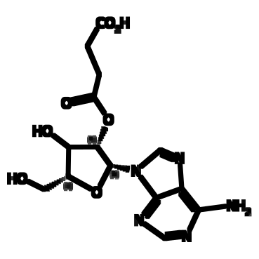 Nc1ncnc2c1ncn2[C@@H]1O[C@H](CO)C(O)[C@@H]1OC(=O)CCC(=O)O